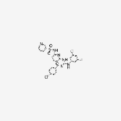 O=C(/N=C(/Nc1cc(F)cc(Cl)c1)Nc1cccc(NS(=O)(=O)c2cccnc2)n1)c1ccc(Cl)cc1